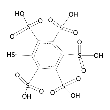 O=S(=O)(O)c1c(S)c(S(=O)(=O)O)c(S(=O)(=O)O)c(S(=O)(=O)O)c1S(=O)(=O)O